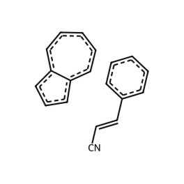 N#CC=Cc1ccccc1.c1ccc2cccc-2cc1